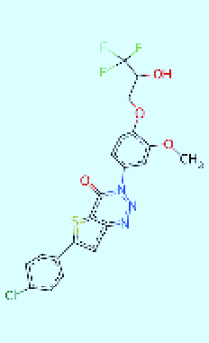 COc1cc(-n2nnc3cc(-c4ccc(Cl)cc4)sc3c2=O)ccc1OCC(O)C(F)(F)F